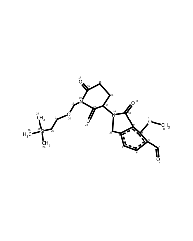 COc1c(C=O)ccc2c1C(=O)N(C1CCC(=O)N(COCC[Si](C)(C)C)C1=O)C2